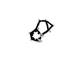 [c]1cnn2c1CC1CC12